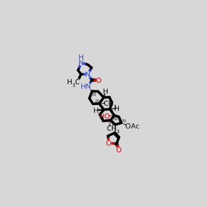 CC(=O)O[C@H]1C[C@]2(O)[C@@H]3CC[C@@H]4C[C@@H](NC(=O)N5CCNCC5C)CC[C@]4(C)[C@H]3CC[C@]2(C)[C@H]1C1=CC(=O)OC1